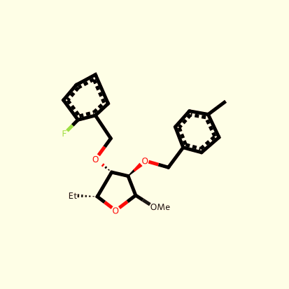 CC[C@H]1OC(OC)[C@H](OCc2ccc(C)cc2)[C@H]1OCc1ccccc1F